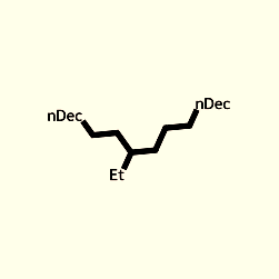 CCCCCCCCCCCCCC(CC)CCCCCCCCCCCC